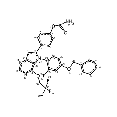 NC(=O)Oc1ccc(-c2cc3ncnc(OCC(F)(F)F)c3n2-c2ccc(OCc3ccccc3)cc2F)cc1